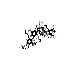 COc1ccc(Oc2c(C)cc(-n3nc(C(=O)OC4C(=O)OCC4(C)C)c(=O)[nH]c3=O)cc2C)cc1Br